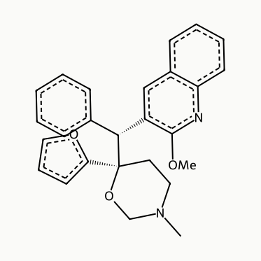 COc1nc2ccccc2cc1[C@@H](c1ccccc1)[C@@]1(c2ccco2)CCN(C)CO1